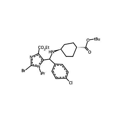 CCOC(=O)c1nc(Br)n(C(C)C)c1C(N[C@H]1CC[C@H](C(=O)OC(C)(C)C)CC1)c1ccc(Cl)cc1